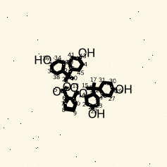 CC(COC(=O)c1ccccc1C(=O)OCC(C)(C1CCC(O)CC1)C1CCC(O)CC1)(C1CCC(O)CC1)C1CCC(O)CC1